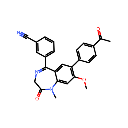 COc1cc2c(cc1-c1ccc(C(C)=O)cc1)C(c1cccc(C#N)c1)=NCC(=O)N2C